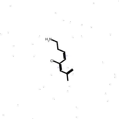 C=C(C)/C=C(Cl)\C=C/CCN